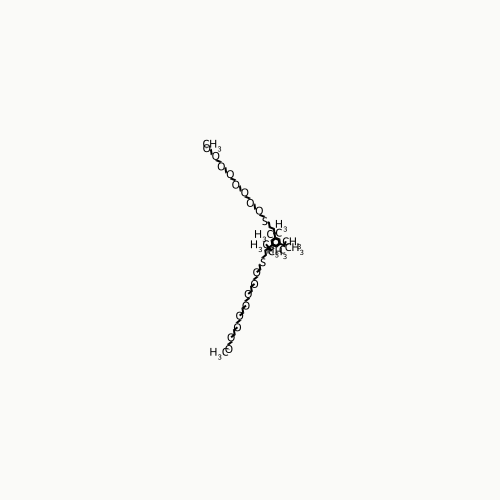 COCCOCCOCCOCCOCCOCCOCCOCCSCCCC(C)(C)c1cc(C(C)(C)C)cc(C(C)(C)CCCSCCOCCOCCOCCOCCOCCOCCOCCOC)c1